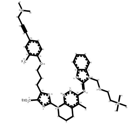 CCOC(=O)c1nc(N2CCCc3c2nnc(/N=c2\sc4ccccc4n2COCC[Si](C)(C)C)c3C)sc1CCCOc1ccc(C#CCN(C)C)cc1C(F)(F)F